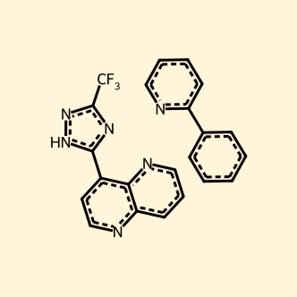 FC(F)(F)c1n[nH]c(-c2ccnc3cccnc23)n1.c1ccc(-c2ccccn2)cc1